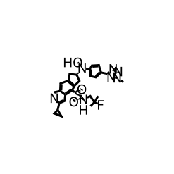 Cn1nnc(-c2ccc(N(O)[C@@H]3Cc4cc5cnc(C6CC6)cc5c(S(=O)(=O)NCC(C)(C)F)c4C3)cc2)n1